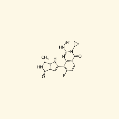 CC(C)Nc1nc2c(-c3cc4c([nH]3)[C@@H](C)NC4=O)c(F)ccc2c(=O)n1C1CC1